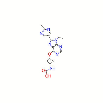 CCn1c(-c2cnc(C)nc2)nc2c(O[C@H]3C[C@@H](NC(=O)O)C3)ncnc21